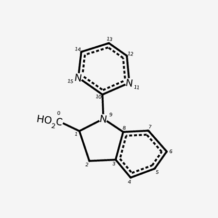 O=C(O)C1Cc2ccccc2N1c1ncccn1